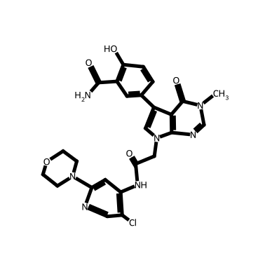 Cn1cnc2c(c(-c3ccc(O)c(C(N)=O)c3)cn2CC(=O)Nc2cc(N3CCOCC3)ncc2Cl)c1=O